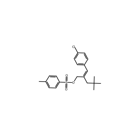 Cc1ccc(S(=O)(=O)OC/C(=C\c2ccc(Cl)cc2)CC(C)(C)C)cc1